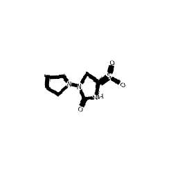 O=C1NC(=S(=O)=O)CN1N1CCCC1